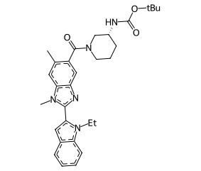 CCn1c(-c2nc3cc(C(=O)N4CCC[C@@H](NC(=O)OC(C)(C)C)C4)c(C)cc3n2C)cc2ccccc21